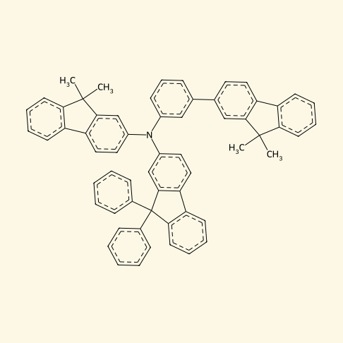 CC1(C)c2ccccc2-c2ccc(-c3cccc(N(c4ccc5c(c4)C(C)(C)c4ccccc4-5)c4ccc5c(c4)C(c4ccccc4)(c4ccccc4)c4ccccc4-5)c3)cc21